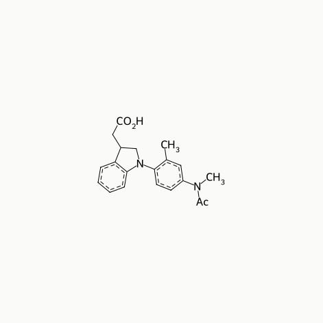 CC(=O)N(C)c1ccc(N2CC(CC(=O)O)c3ccccc32)c(C)c1